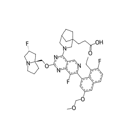 CCc1c(F)ccc2cc(OCOC)cc(-c3ncc4c(N5CC6CCC(CCC(=O)O)(C6)C5)nc(OC[C@@]56CCCN5C[C@H](F)C6)nc4c3F)c12